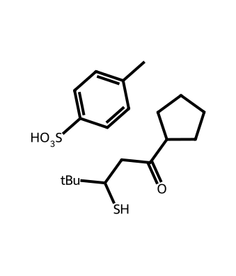 CC(C)(C)C(S)CC(=O)C1CCCC1.Cc1ccc(S(=O)(=O)O)cc1